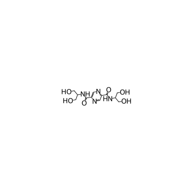 O=C(NC(CO)CO)c1cnc(C(=O)NC(CO)CO)cn1